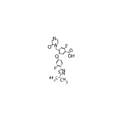 CC(C)c1nnc(-c2ccc(Oc3cc(C(=O)O)c(F)cc3Cn3ccncc3=O)cc2F)s1